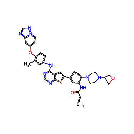 C=CC(=O)Nc1cc(-c2cc3c(Nc4ccc(Oc5ccn6ncnc6c5)c(C)c4)ncnc3s2)ccc1N1CCN(C2COC2)CC1